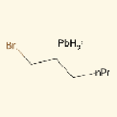 CCCCCCBr.[PbH2]